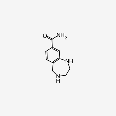 NC(=O)c1ccc2c(c1)NCCNC2